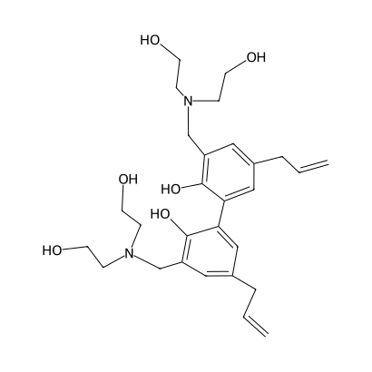 C=CCc1cc(CN(CCO)CCO)c(O)c(-c2cc(CC=C)cc(CN(CCO)CCO)c2O)c1